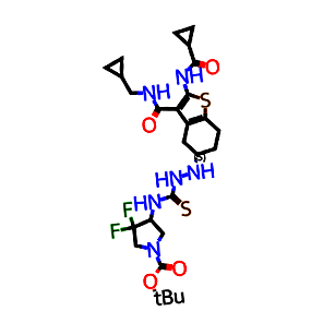 CC(C)(C)OC(=O)N1CC(NC(=S)NN[C@H]2CCc3sc(NC(=O)C4CC4)c(C(=O)NCC4CC4)c3C2)C(F)(F)C1